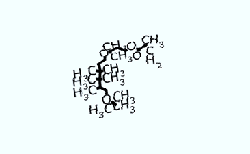 C=C(C)C(=O)OCCC(C)(C)OCCC(C)(C)C(C)(C)C(C)COC(C)(C)C